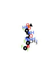 Cc1cc(Oc2cc(F)ccc2F)cc(F)c1-n1ncc(C(=O)c2cc3cc(F)c(NS(=O)(=O)C4CC4)cc3[nH]2)c1N